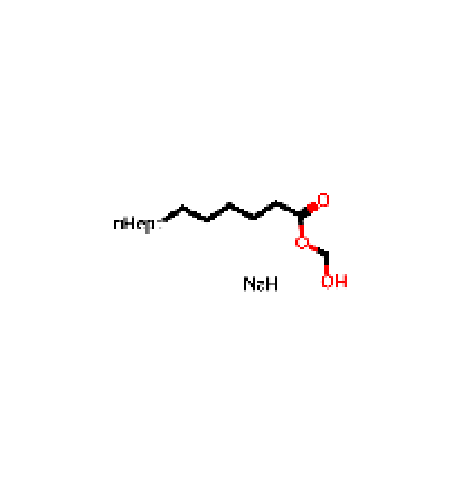 CCCCCCCCCCCCC(=O)OCO.[NaH]